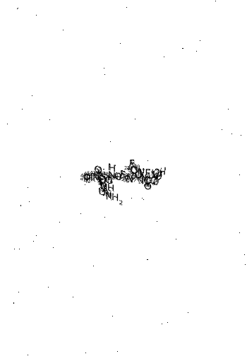 CC[C@@]1(O)C(=O)OCc2c1cc1n(c2=O)Cc2c-1nc1cc(F)c(C)cc1c2CN1CC(F)(COCNC(=O)CNC(=O)[C@H](Cc2ccccc2)NC(=O)CNC(=O)CN)C1